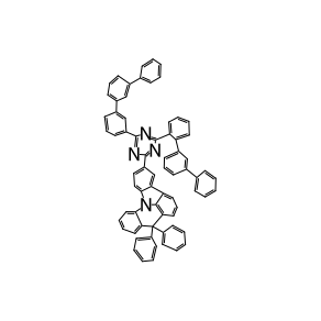 c1ccc(-c2cccc(-c3cccc(-c4nc(-c5ccc6c(c5)c5cccc7c5n6-c5ccccc5C7(c5ccccc5)c5ccccc5)nc(-c5ccccc5-c5cccc(-c6ccccc6)c5)n4)c3)c2)cc1